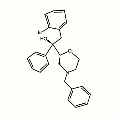 O[C@](Cc1ccccc1Br)(c1ccccc1)[C@@H]1CN(Cc2ccccc2)CCO1